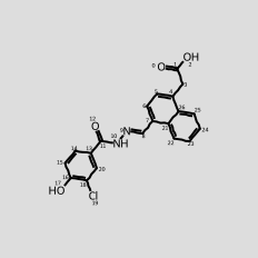 O=C(O)Cc1ccc(/C=N/NC(=O)c2ccc(O)c(Cl)c2)c2ccccc12